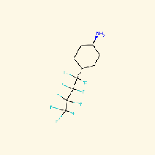 N[C@H]1CC[C@H](C(F)(F)C(F)(F)C(F)(F)C(F)(F)F)CC1